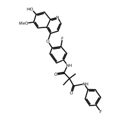 COc1cc2c(Oc3ccc(NC(=O)C(C)(C)C(=O)Nc4ccc(F)cc4)cc3F)ccnc2cc1O